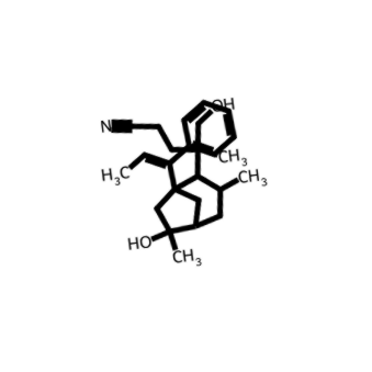 C/C=C(/c1ccccc1)C12CC(CC(C)C1[C@@](C)(CO)CCC#N)C(C)(O)C2